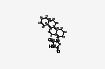 O=C1CN(C2=c3ccc4c(c3CCC2)CC=c2ccccc2=4)C(=O)N1